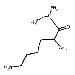 NCCCCC(N)C(=O)P(P)P